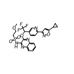 COCCS(=O)(=O)Nc1nc2ccccc2nc1OC(c1ccc(-c2cc(C3CC3)on2)nc1)C(F)(F)F